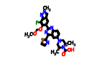 COCOc1c(-c2nc(-c3nccs3)c3cc(N4C[C@@H](C)N(C(=O)O)[C@@H](C)C4)ccc3n2)cc2cn(C)nc2c1F